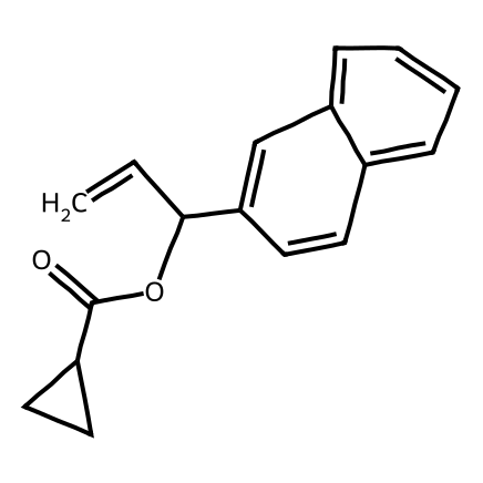 C=CC(OC(=O)C1CC1)c1ccc2ccccc2c1